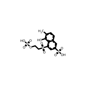 Cc1ccc2cc(S(=O)(=O)O)cc(S(=O)(=O)CCOS(=O)(=O)O)c2c1O